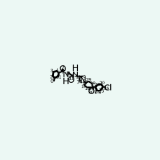 Cc1cccc(C(=O)NCC(=O)NC2CN([C@H]3CC[C@@](O)(c4ccc(Cl)cc4)CC3)C2)c1